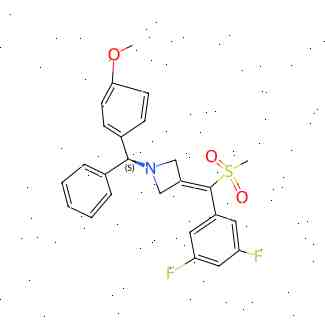 COc1ccc([C@H](c2ccccc2)N2CC(=C(c3cc(F)cc(F)c3)S(C)(=O)=O)C2)cc1